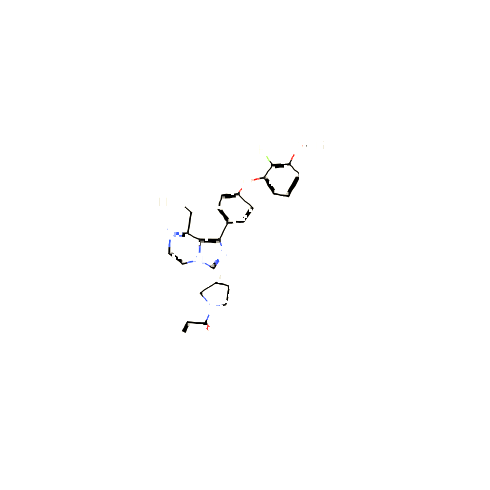 C=CC(=O)N1CC[C@@H](c2nc(-c3ccc(Oc4cccc(OC)c4F)cc3)c3c(CC)nccn23)C1